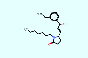 COCc1cccc(C(O)C=C[C@H]2CCC(=O)N2CCCCCCC(=O)O)c1